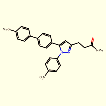 CNC(=O)CCc1cc(-c2ccc(-c3ccc(OC)cc3)cc2)n(-c2ccc([N+](=O)[O-])cc2)n1